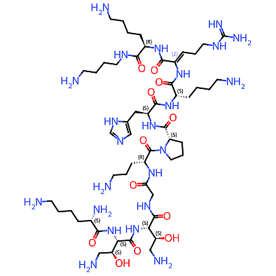 N=C(N)NCC/C=C(\NC(=O)[C@H](CCCCN)NC(=O)[C@H](Cc1cnc[nH]1)NC(=O)[C@@H]1CCCN1C(=O)[C@@H](CCCN)NC(=O)CNC(=O)[C@@H](NC(=O)[C@@H](NC(=O)[C@@H](N)CCCCN)[C@@H](O)CN)[C@@H](O)CN)C(=O)N[C@H](CCCCN)C(=O)NCCCCN